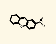 O=[N+]([O-])c1ccc2c(c1)C=C1CCCC=C1O2